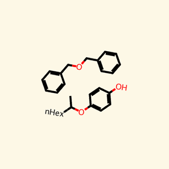 CCCCCCC(C)Oc1ccc(O)cc1.c1ccc(COCc2ccccc2)cc1